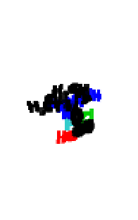 C[C@H]1[C@H]2NCCN(c3nc(N4CC(N(C)C)C4)nc4c(F)c(-c5cc(O)cc6ccccc56)c(Cl)cc34)[C@@H]12